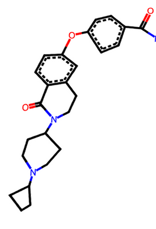 NC(=O)c1ccc(Oc2ccc3c(c2)CCN(C2CCN(C4CCC4)CC2)C3=O)cc1